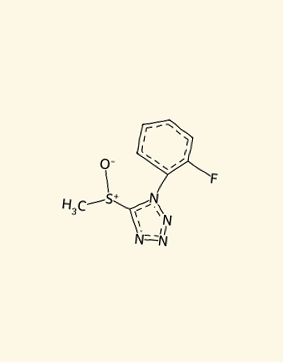 C[S+]([O-])c1nnnn1-c1ccccc1F